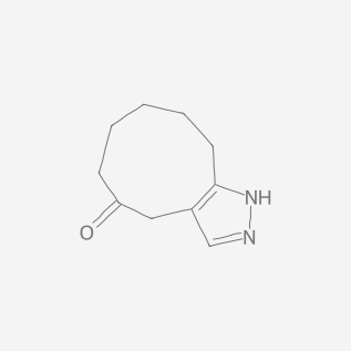 O=C1CCCCCc2[nH]ncc2C1